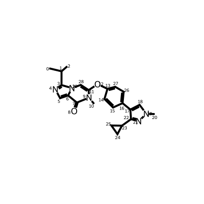 CC(C)c1ncc2c(=O)n(C)c(Oc3ccc(-c4cn(C)nc4C4CC4)cc3)cn12